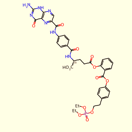 CCOP(=O)(OCC)OCCc1ccc(OC(=O)c2ccccc2OC(=O)CC[C@H](NC(=O)c2ccc(NC(=O)c3cnc4[nH]c(N)nc(=O)c4n3)cc2)C(=O)O)cc1